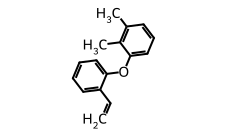 C=Cc1ccccc1Oc1cccc(C)c1C